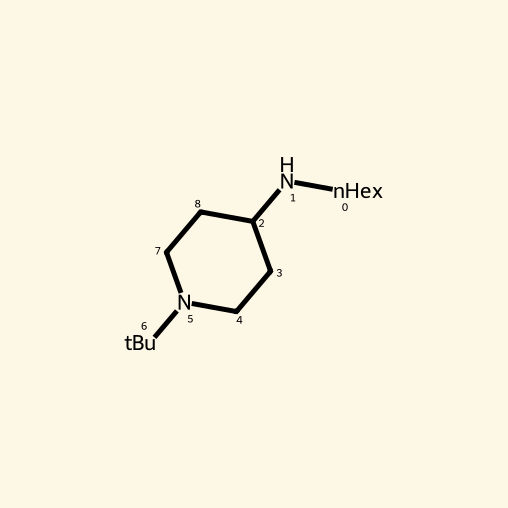 CCCCCCNC1CCN(C(C)(C)C)CC1